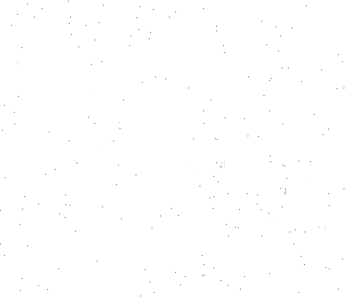 Cc1ccc(S(=O)(=O)c2ccc(F)cc2)cc1S(=O)(=O)NCCN1CCOCC1